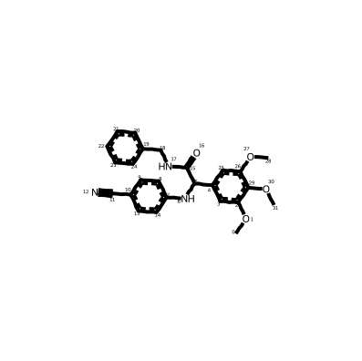 COc1cc(C(Nc2ccc(C#N)cc2)C(=O)NCc2ccccc2)cc(OC)c1OC